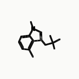 Cc1cccc2c1c(CC(C)(C)C)cn2C